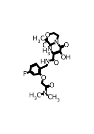 CN(C)C(=O)COc1cc(F)ccc1CNC(=O)c1nc2n(c(=O)c1O)CCOC2(C)C